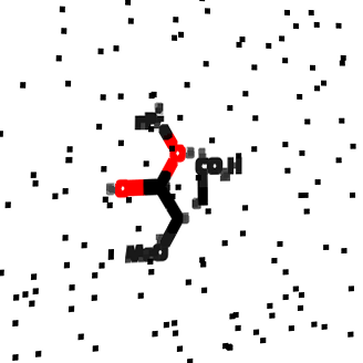 CC(=O)O.CCCOC(=O)COC